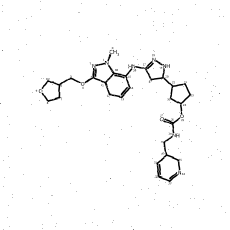 CN1N=C(OCC2CCOC2)C2CC=CC(NC3=NNC(C4CCC(OC(=O)NCC5C=CC=NC5)C4)C3)=C21